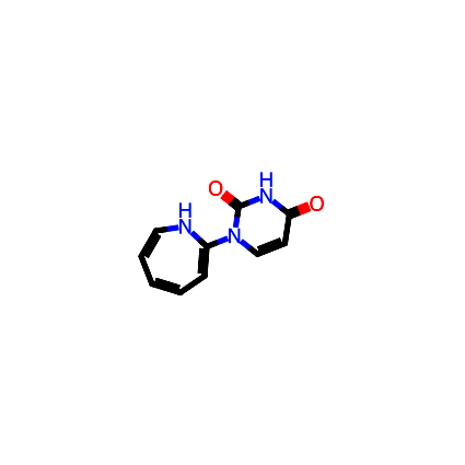 O=c1ccn(C2=CC=CC=CN2)c(=O)[nH]1